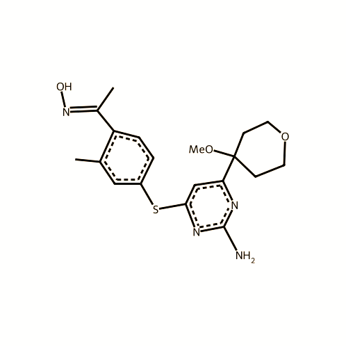 COC1(c2cc(Sc3ccc(/C(C)=N/O)c(C)c3)nc(N)n2)CCOCC1